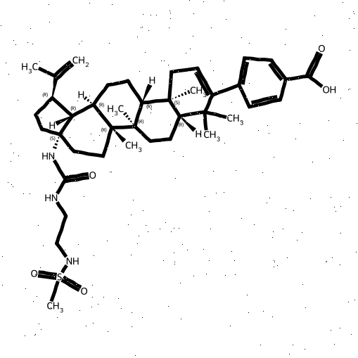 C=C(C)[C@@H]1CC[C@]2(NC(=O)NCCNS(C)(=O)=O)CC[C@]3(C)[C@H](CC[C@@H]4[C@@]5(C)CC=C(c6ccc(C(=O)O)cc6)C(C)(C)[C@@H]5CC[C@]43C)[C@@H]12